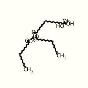 CCCCCCCC/C=C\CCCCCCCC(=O)OCC(COC(=O)CCCCCCC/C=C\CCCCCCCCC(O)C(O)CO)OC(=O)CCCCCCC/C=C\CCCCCCCC